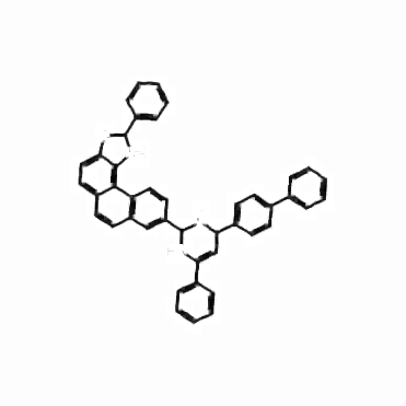 C1=C(c2ccccc2)NC(c2ccc3c(ccc4ccc5c(c43)NC(c3ccccc3)S5)c2)NC1c1ccc(-c2ccccc2)cc1